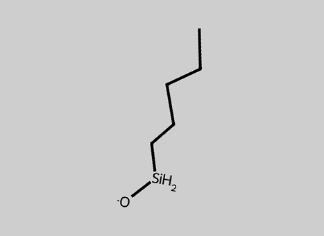 CCCCC[SiH2][O]